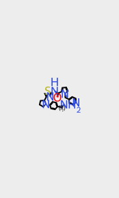 C[C@@H](N)c1ccc(N2CCCC2c2csc(NC(=O)c3cccn3Cc3ccncc3)n2)cc1